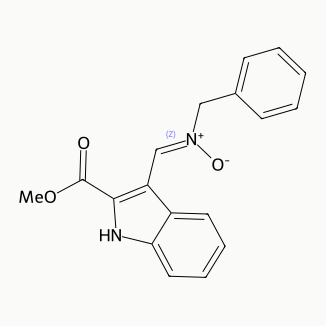 COC(=O)c1[nH]c2ccccc2c1/C=[N+](\[O-])Cc1ccccc1